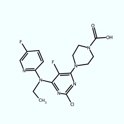 CCN(c1ccc(F)cn1)c1nc(Cl)nc(N2CCN(C(=O)O)CC2)c1F